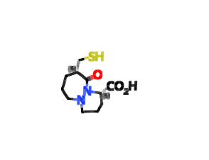 O=C(O)[C@@H]1CCCN2CCC[C@H](CS)C(=O)N12